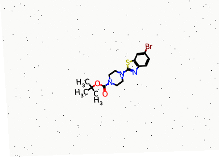 CC(C)(C)OC(=O)N1CCN(c2nc3ccc(Br)cc3s2)CC1